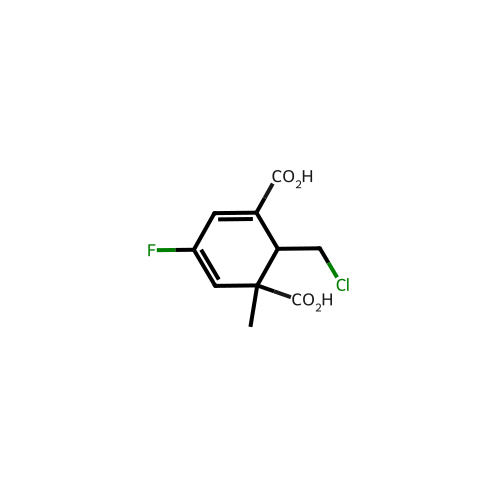 CC1(C(=O)O)C=C(F)C=C(C(=O)O)C1CCl